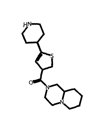 O=C(C1C=C(C2CCNCC2)SC1)N1CCN2CCCCC2C1